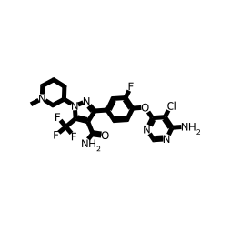 CN1CCCC(n2nc(-c3ccc(Oc4ncnc(N)c4Cl)c(F)c3)c(C(N)=O)c2C(F)(F)F)C1